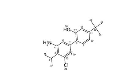 CC(C)c1c(N)cc(-c2ccc(C(C)(C)C)cc2O)nc1Cl